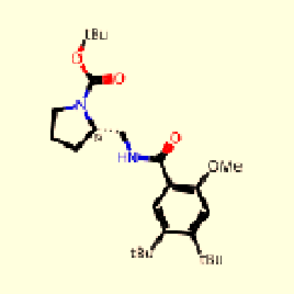 COc1cc(C(C)(C)C)c(C(C)(C)C)cc1C(=O)NC[C@@H]1CCCN1C(=O)OC(C)(C)C